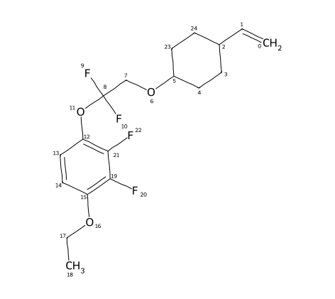 C=CC1CCC(OCC(F)(F)Oc2ccc(OCC)c(F)c2F)CC1